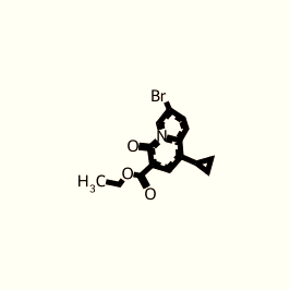 CCOC(=O)c1cc(C2CC2)c2ccc(Br)cn2c1=O